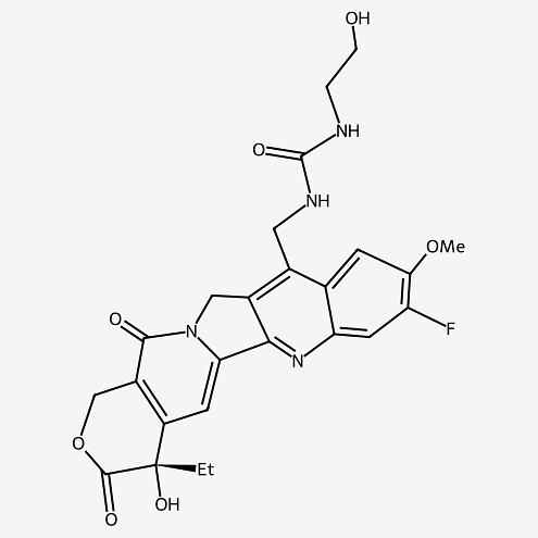 CC[C@@]1(O)C(=O)OCc2c1cc1n(c2=O)Cc2c-1nc1cc(F)c(OC)cc1c2CNC(=O)NCCO